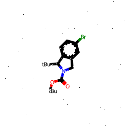 CC(C)(C)OC(=O)N1Cc2cc(Br)ccc2C1C(C)(C)C